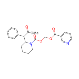 COC(=O)C(c1ccccc1)C1CCCCN1C(=O)OCOC(=O)c1cccnc1